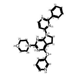 c1ccc(-c2nccc(N3CCc4c(Oc5cccnc5)nc(N5CCOCC5)nc43)n2)cc1